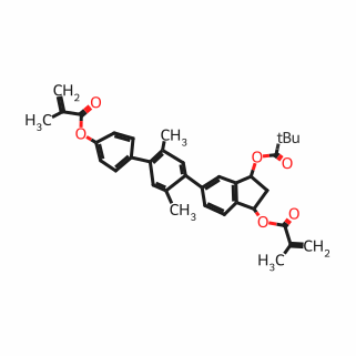 C=C(C)C(=O)Oc1ccc(-c2cc(C)c(-c3ccc4c(c3)C(OC(=O)C(C)(C)C)CC4OC(=O)C(=C)C)cc2C)cc1